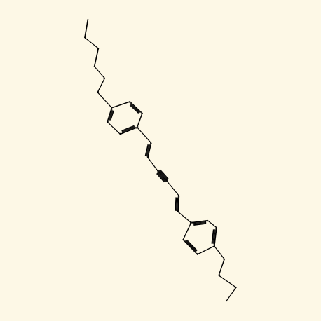 CCCCCCc1ccc(/C=C/C#C/C=C/c2ccc(CCCC)cc2)cc1